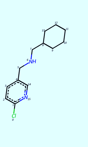 Clc1ccc(CNCC2CCCCC2)cn1